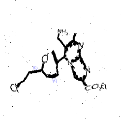 C=C(/C=C\C(Cl)=C/CCl)c1c(CN)c(C)nc2nc(C(=O)OCC)cn12